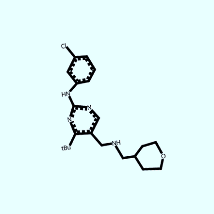 CC(C)(C)c1nc(Nc2cccc(Cl)c2)ncc1CNCC1CCOCC1